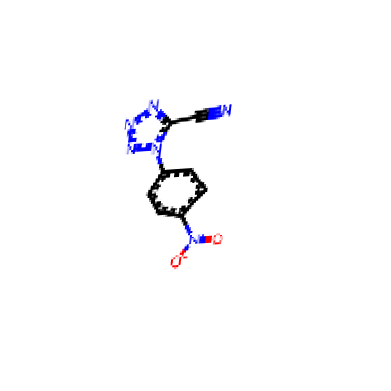 N#Cc1nnnn1-c1ccc([N+](=O)[O-])cc1